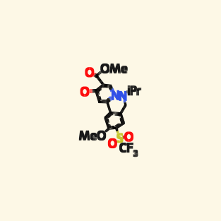 COC(=O)c1cn2c(cc1=O)-c1cc(OC)c(S(=O)(=O)C(F)(F)F)cc1CN2C(C)C